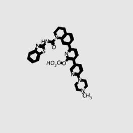 CN1CCN(c2ccc(-c3ccc(-c4ccc5c(c4)N(C(=O)Nc4nc6ccccc6s4)CCC5)nc3OC(=O)O)cn2)CC1